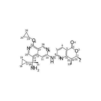 C[C@@H]1OC(=O)c2ccc(Nc3cc4c([C@](C)(N)C5CC5)cnc(OC5CC5)c4cn3)nc2[C@@H]1C